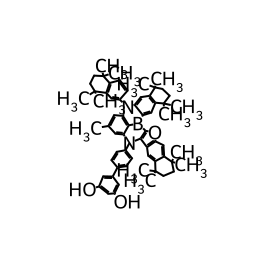 Cc1cc2c3c(c1)N(c1ccc(-c4cc(O)cc(O)c4)cc1)c1c(oc4cc5c(cc14)C(C)(C)CCC5(C)C)B3c1cc3c(cc1N2c1ccc2c(c1)C(C)(C)CCC2(C)C)C(C)(C)CCC3(C)C